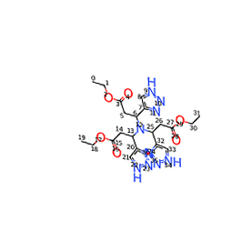 CCOC(=O)CC(c1c[nH]nn1)N(C(CC(=O)OCC)c1c[nH]nn1)C(CC(=O)OCC)c1c[nH]nn1